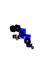 CN1CCC(Nc2nc(Nc3ccc4ccccc4c3)nc(C(Cl)(Cl)Cl)n2)CC1